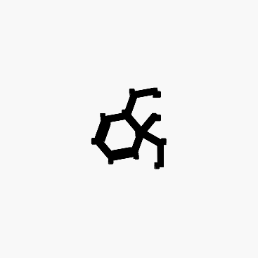 [CH2]C1(CC)C=CC=CC1CC